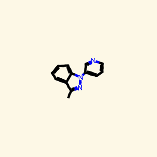 Cc1nn(-c2cccnc2)c2ccccc12